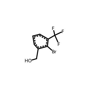 OCc1cccc(C(F)(F)F)c1Br